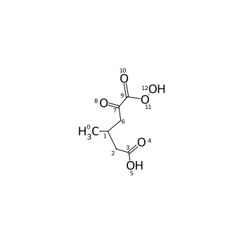 CC(CC(=O)O)CC(=O)C(=O)OO